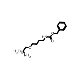 C[C@H](N)COCCCCNC(=O)OCc1ccccc1